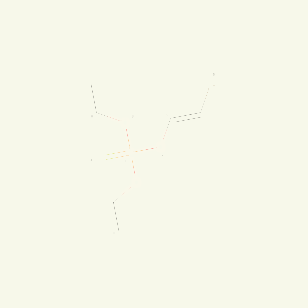 CCOP(=S)(OC=CBr)OCC